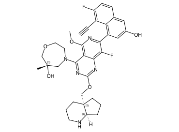 C#Cc1c(F)ccc2cc(O)cc(-c3nc(OC)c4c(N5CCOC[C@@](C)(O)C5)nc(OC[C@@]56CCCN[C@@H]5CCC6)nc4c3F)c12